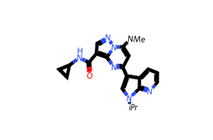 CNc1cc(-c2cn(C(C)C)c3ncccc23)nc2c(C(=O)NC3CC3)cnn12